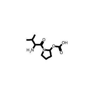 CC(C)C(N)C(=O)N1CCCC1OC(=O)O